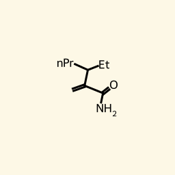 C=C(C(N)=O)C(CC)CCC